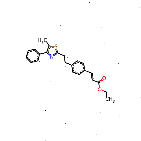 CCOC(=O)/C=C/c1ccc(CCc2nc(-c3ccccc3)c(C)s2)cc1